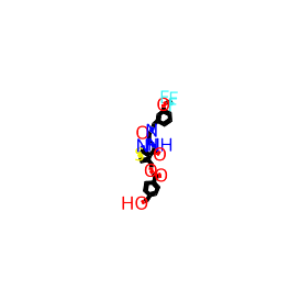 O=C(OCc1csc2nc(C(=O)NCc3cccc(OC(F)(F)F)c3)[nH]c(=O)c12)c1ccc(CO)cc1